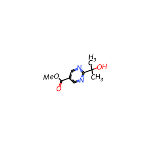 COC(=O)c1cnc(C(C)(C)O)nc1